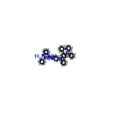 NC(NC(NCc1ccc(-n2c3ccccc3c3cc4c(cc32)-c2ccccc2-c2ccccc2N4c2ccccc2)cc1)c1ccccc1)c1ccccc1